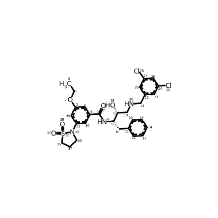 CCOc1cc(C(=O)N[C@@H](Cc2ccccc2)[C@H](O)CNCc2cc(Cl)cc(Cl)c2)cc(N2CCCS2(=O)=O)c1